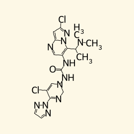 CC(c1c(NC(=O)NN2C=C(Cl)C(n3nccn3)=NC2)cnc2cc(Cl)nn12)N(C)C